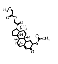 CCC(=O)OCC(=O)[C@H]1CC[C@H]2[C@@H]3CCC4=CC(=O)C(SC(C)=O)C[C@]4(C)[C@H]3CC[C@]12C